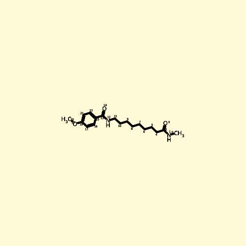 CNC(=O)CCCCCCCCNC(=O)c1ccc(OC)cc1